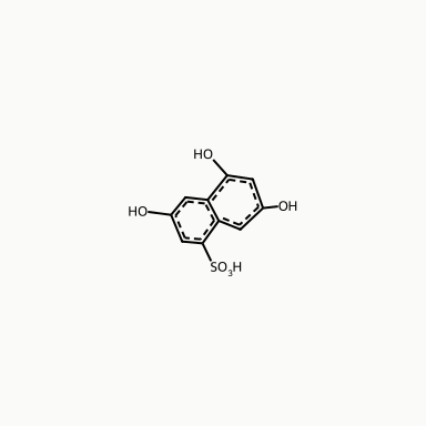 O=S(=O)(O)c1cc(O)cc2c(O)cc(O)cc12